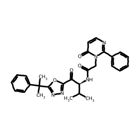 CC(C)[C@H](NC(=O)Cn1c(-c2ccccc2)nccc1=O)C(=O)c1nnc(C(C)(C)c2ccccc2)o1